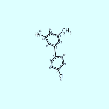 Cc1cc(-c2ccc(Cl)cc2)cc(C(C)C)n1